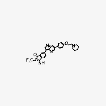 N=C1c2ccc(-c3cnn4cc(-c5ccc(OCCN6CCCCC6)cc5)cnc34)cc2C(=O)N1CC(F)(F)F